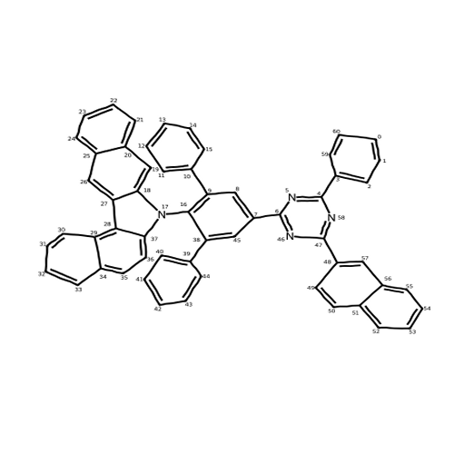 c1ccc(-c2nc(-c3cc(-c4ccccc4)c(-n4c5cc6ccccc6cc5c5c6ccccc6ccc54)c(-c4ccccc4)c3)nc(-c3ccc4ccccc4c3)n2)cc1